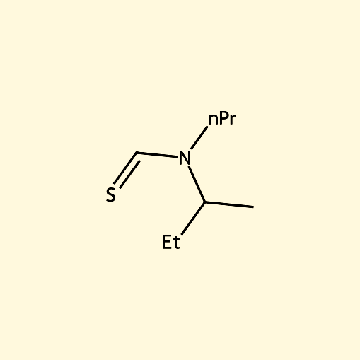 CCCN(C=S)C(C)CC